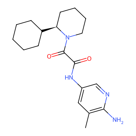 Cc1cc(NC(=O)C(=O)N2CCCC[C@@H]2C2CCCCC2)cnc1N